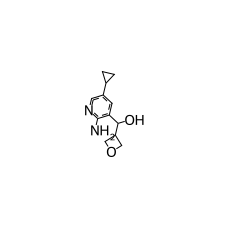 Nc1ncc(C2CC2)cc1C(O)C1COC1